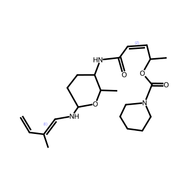 C=C/C(C)=C/NC1CCC(NC(=O)/C=C\C(C)OC(=O)N2CCCCC2)C(C)O1